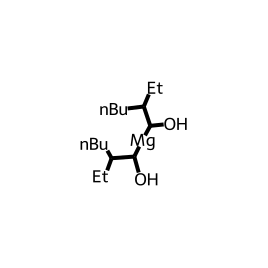 CCCCC(CC)[CH](O)[Mg][CH](O)C(CC)CCCC